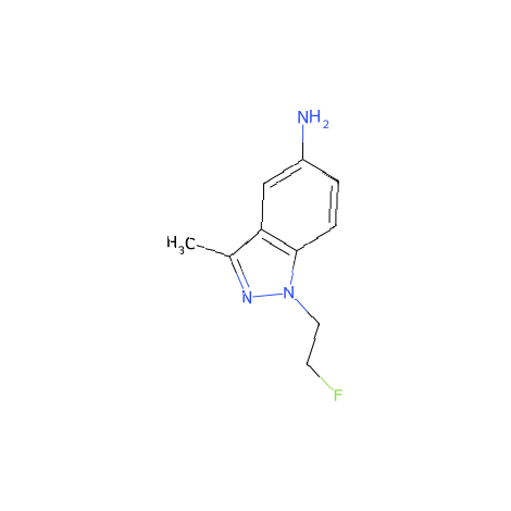 Cc1nn(CCF)c2ccc(N)cc12